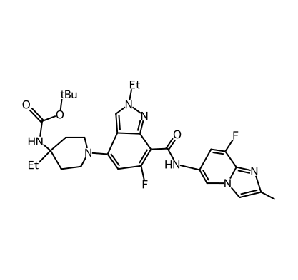 CCn1cc2c(N3CCC(CC)(NC(=O)OC(C)(C)C)CC3)cc(F)c(C(=O)Nc3cc(F)c4nc(C)cn4c3)c2n1